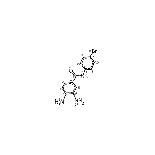 Nc1ccc(C(=O)Nc2ccc(Br)cc2)cc1N